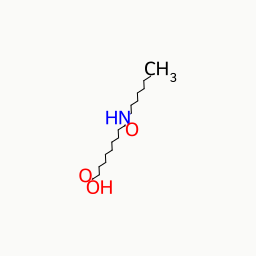 CCCCCCCCNC(=O)CCCCCCCCC(=O)O